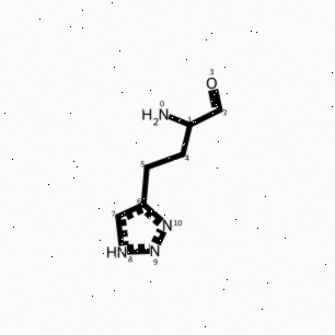 NC(C=O)CCc1c[nH]nn1